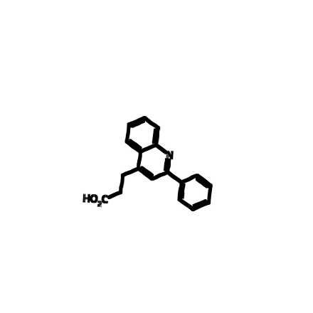 O=C(O)CCc1cc(-c2ccccc2)nc2ccccc12